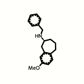 COc1ccc2c(c1)C[C@@H](NCc1ccccc1)CCC2